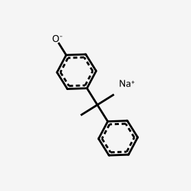 CC(C)(c1ccccc1)c1ccc([O-])cc1.[Na+]